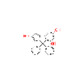 OC1=CC(C(c2ccccc2)(c2ccccc2)c2ccc(O)cc2O)C=C1